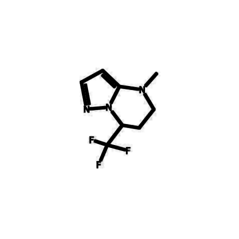 CN1CCC(C(F)(F)F)n2nccc21